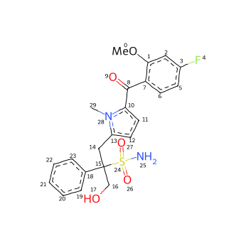 COc1cc(F)ccc1C(=O)c1ccc(CC(CO)(c2ccccc2)S(N)(=O)=O)n1C